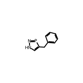 c1ccc(Cc2c[nH]np2)cc1